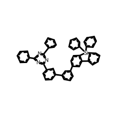 c1ccc(-c2nc(-c3ccccc3)nc(-c3cccc(-c4cccc(-c5ccc6c(c5)-c5ccccc5[Si]6(c5ccccc5)c5ccccc5)c4)c3)n2)cc1